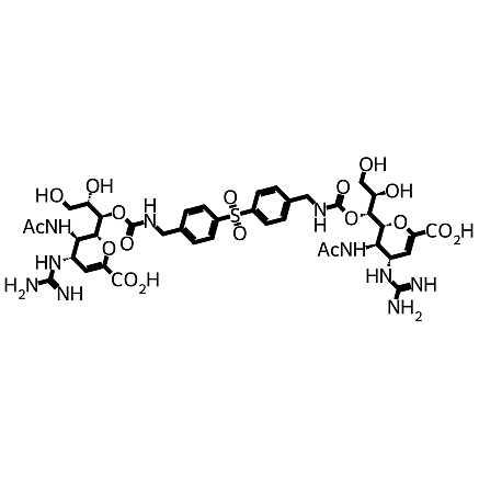 CC(=O)N[C@H]1[C@H]([C@H](OC(=O)NCc2ccc(S(=O)(=O)c3ccc(CNC(=O)O[C@@H]([C@@H]4OC(C(=O)O)=C[C@H](NC(=N)N)[C@H]4NC(C)=O)[C@@H](O)CO)cc3)cc2)[C@H](O)CO)OC(C(=O)O)=C[C@@H]1NC(=N)N